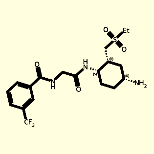 CCS(=O)(=O)C[C@@H]1C[C@H](N)CC[C@@H]1NC(=O)CNC(=O)c1cccc(C(F)(F)F)c1